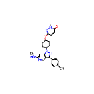 CCNc1cc2c(cn1)c(-c1ccc(C#N)cc1)nn2C1CCC(Oc2ccc(=O)n(C)n2)CC1